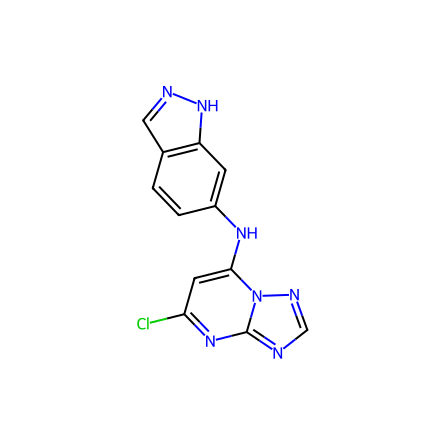 Clc1cc(Nc2ccc3cn[nH]c3c2)n2ncnc2n1